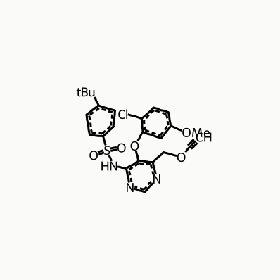 C#COCc1ncnc(NS(=O)(=O)c2ccc(C(C)(C)C)cc2)c1Oc1cc(OC)ccc1Cl